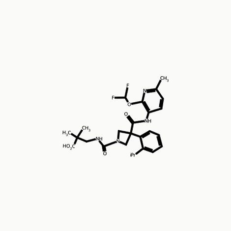 Cc1ccc(NC(=O)C2(c3ccccc3C(C)C)CN(C(=O)NCC(C)(C)C(=O)O)C2)c(OC(F)F)n1